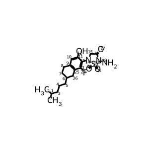 CC(C)CCCC1CCc2cc(O)c(N3CC(=O)N(N)S3(=O)=O)c(F)c2C1